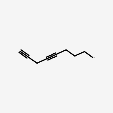 [C]#CCC#CCCC[CH2]